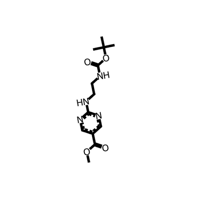 COC(=O)c1cnc(NCCNC(=O)OC(C)(C)C)nc1